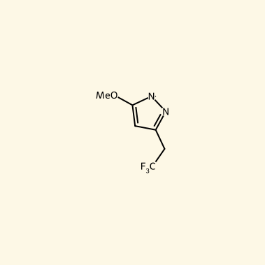 COC1=CC(CC(F)(F)F)=N[N]1